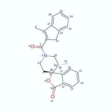 CC1=C(C(=O)N2CC[C@@]3(OC(=O)c4ccccc43)[C@@H](C)C2)Cc2ccccc21